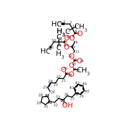 C#CCC(C)(C)C(=O)OCC(COC(=O)OC(C)OC(=O)CCC/C=C\C[C@H]1CCC[C@@H]1CC[C@@H](O)CCc1ccccc1)OC(=O)C(C)(C)CC#C